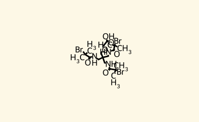 CC(C)(Br)C(=O)NCC(CNC(=O)C(C)(C)Br)(CNC(=O)C(C)(C)Br)COCC(=O)O